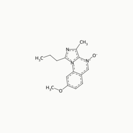 CCCc1nc(C)c2n1c1cc(OC)ccc1c[n+]2[O-]